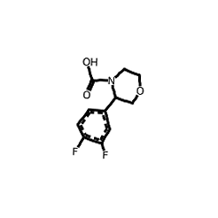 O=C(O)N1CCOCC1c1ccc(F)c(F)c1